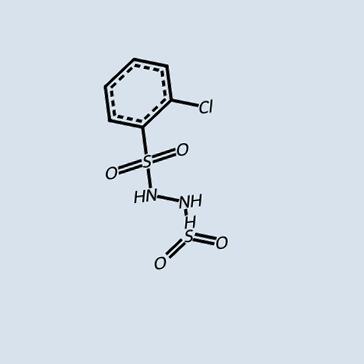 O=[SH](=O)NNS(=O)(=O)c1ccccc1Cl